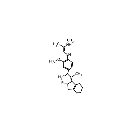 CN/C(C)=C\Nc1ccc(C(C)N(C)C2C3=C(C=CCC3)C[C@@H]2F)cc1OC